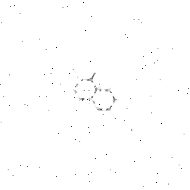 Cn1ccc2cc(I)ccc2c1=O